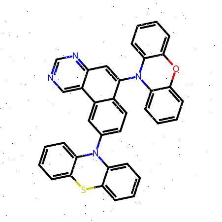 c1ccc2c(c1)Oc1ccccc1N2c1cc2ncncc2c2cc(N3c4ccccc4Sc4ccccc43)ccc12